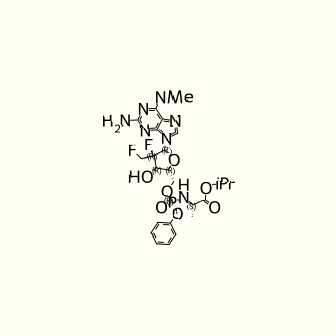 CNc1nc(N)nc2c1ncn2[C@@H]1O[C@H](CO[P@](=O)(N[C@@H](C)C(=O)OC(C)C)Oc2ccccc2)[C@@H](O)[C@]1(F)CF